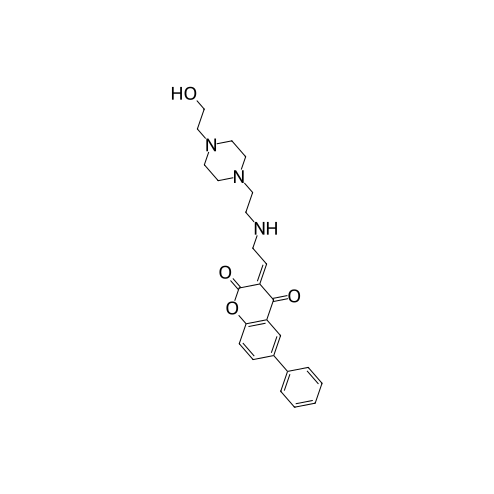 O=C1Oc2ccc(-c3ccccc3)cc2C(=O)/C1=C/CNCCN1CCN(CCO)CC1